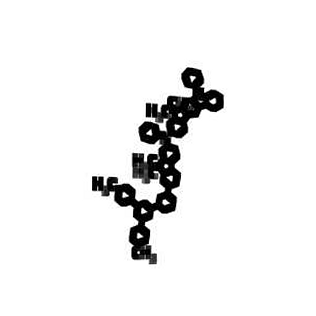 Cc1ccc(-c2cc(-c3ccc(C)cc3)cc(C3C=CC=C(c4ccc5c(c4)C(C)(C)c4cc(N(c6ccccc6)c6ccc7c(c6)C(C)(C)c6cc8c(cc6-7)C6CC=CC=C6N8c6ccccc6)ccc4-5)C3)c2)cc1